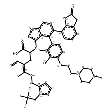 C=C/C(CC(Oc1nsc2cnc(-c3cccc4c3NC(=O)C4)c(-c3ccc(OCCN4CCN(C)CC4)c(Cl)c3C)c12)C(=O)O)=C(\C)OCc1ccnn1CC(C)(F)F